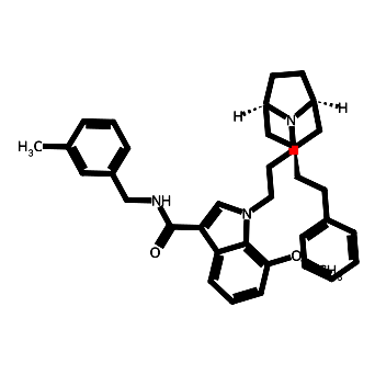 COc1cccc2c(C(=O)NCc3cccc(C)c3)cn(CCCN3[C@@H]4CC[C@H]3C[C@@H](CCc3ccccc3)C4)c12